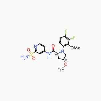 COc1c(N2C[C@H](OC(F)(F)F)C[C@H]2C(=O)Nc2ccnc(S(N)(=O)=O)c2)ccc(F)c1F